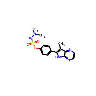 Cc1c(-c2ccc(OS(=O)(=O)NN(C)C)cc2)[nH]c2nccnc12